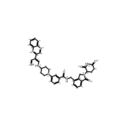 N=C/C(=C\NC1CCN(c2cccc(C(=O)NCc3cccc4c3CN(C3CCC(=O)NC3=O)C4=O)c2)CC1)c1cnc2ccccc2n1